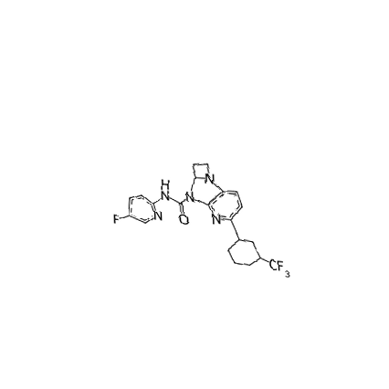 O=C(Nc1ccc(F)cn1)N1c2nc(C3CCCC(C(F)(F)F)C3)ccc2N2CCC21